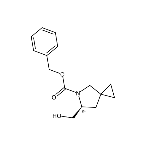 O=C(OCc1ccccc1)N1CC2(CC2)C[C@H]1CO